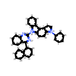 c1ccc(-n2ccc3c4c5ccccc5n(-c5nc(-c6cccc7ccccc67)c6ccccc6n5)c4ccc32)cc1